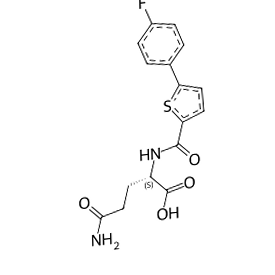 NC(=O)CC[C@H](NC(=O)c1ccc(-c2ccc(F)cc2)s1)C(=O)O